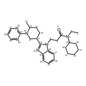 CCN(C(=O)CCn1c(C2CCC(C)N(c3ncccn3)C2)nc2ccccc21)C1CCCCC1